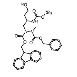 CN(C(=O)OCc1ccccc1)N(C[C@@H](CCO)NC(=O)OC(C)(C)C)C(=O)OCC1c2ccccc2-c2ccccc21